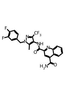 Cc1c(NC(=O)c2cc(C(N)=O)c3ccccc3n2)c(C(F)(F)F)nn1Cc1ccc(F)c(F)c1